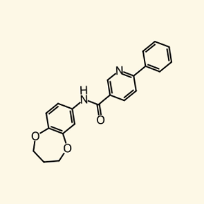 O=C(Nc1ccc2c(c1)OCCCO2)c1ccc(-c2ccccc2)nc1